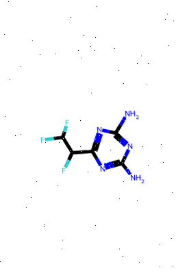 Nc1nc(N)nc(C(F)C(F)F)n1